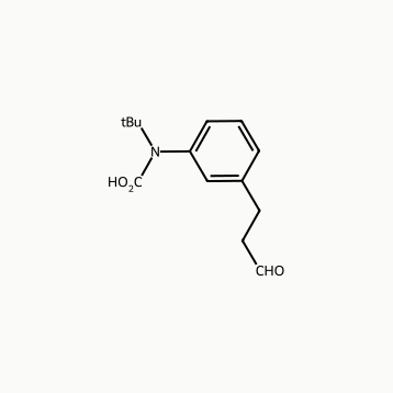 CC(C)(C)N(C(=O)O)c1cccc(CCC=O)c1